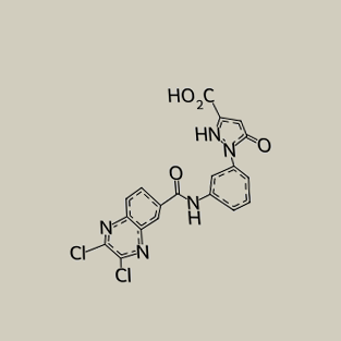 O=C(Nc1cccc(-n2[nH]c(C(=O)O)cc2=O)c1)c1ccc2nc(Cl)c(Cl)nc2c1